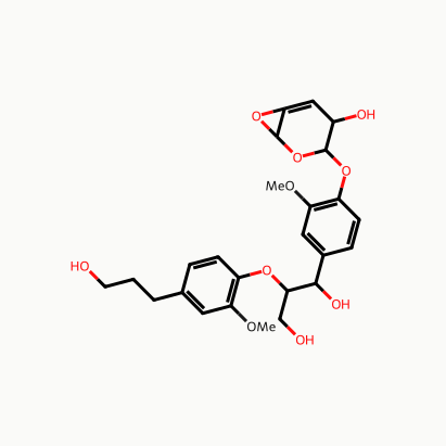 COc1cc(CCCO)ccc1OC(CO)C(O)c1ccc(OC2OC3OC3=CC2O)c(OC)c1